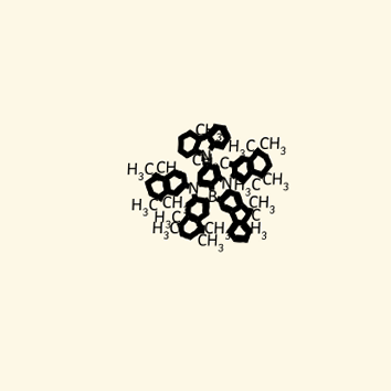 Cc1cc2c(cc1N1c3cc4c(cc3B3c5cc6c(cc5N(c5ccc7c(c5)C(C)(C)CCC7(C)C)c5cc(N7c8ccccc8C8(C)CCCCC78C)cc1c53)C(C)(C)CCC6(C)C)-c1ccccc1C4(C)C)C(C)(C)CCC2(C)C